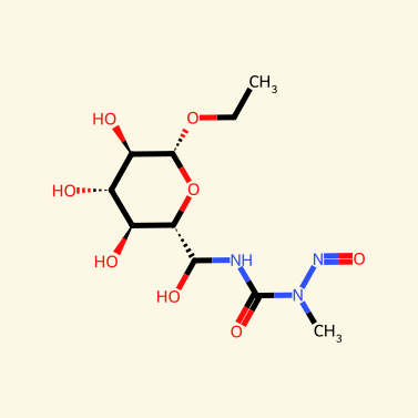 CCO[C@@H]1O[C@H](C(O)NC(=O)N(C)N=O)[C@@H](O)[C@H](O)[C@H]1O